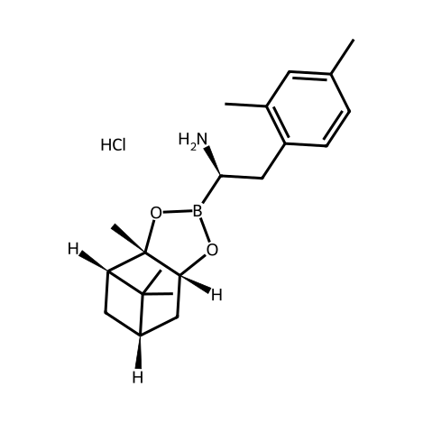 Cc1ccc(C[C@H](N)B2O[C@@H]3C[C@@H]4C[C@@H](C4(C)C)[C@]3(C)O2)c(C)c1.Cl